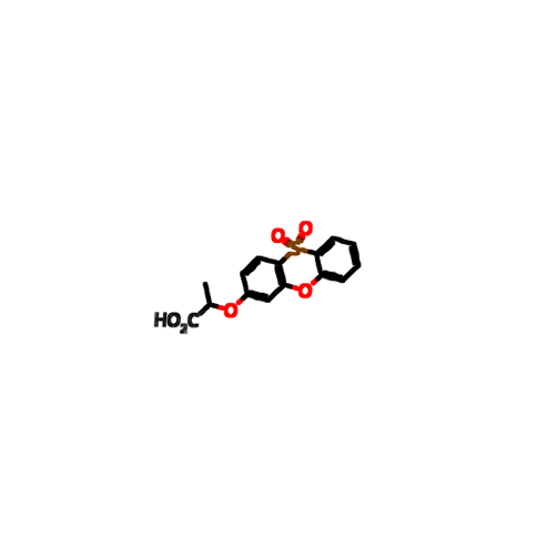 CC(Oc1ccc2c(c1)Oc1ccccc1S2(=O)=O)C(=O)O